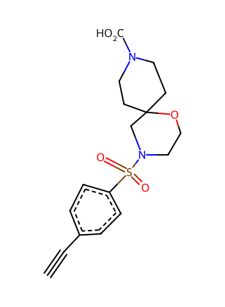 C#Cc1ccc(S(=O)(=O)N2CCOC3(CCN(C(=O)O)CC3)C2)cc1